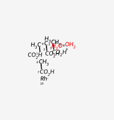 CC(=O)O.CC(=O)O.CC(=O)O.CC(=O)O.O.O.[Rh]